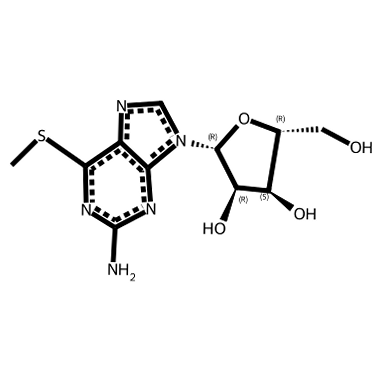 CSc1nc(N)nc2c1ncn2[C@@H]1O[C@H](CO)[C@@H](O)[C@H]1O